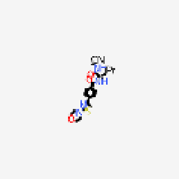 CC(C)C[C@@H](NC(=O)c1ccc(-c2csc(N3CCOCC3)n2)cc1)C(=O)NCC#N